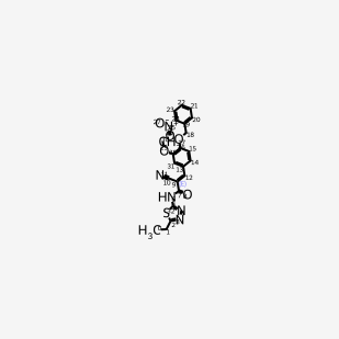 CCc1nnc(NC(=O)/C(C#N)=C/c2ccc(OCc3ccccc3[N+](=O)[O-])c(OC)c2)s1